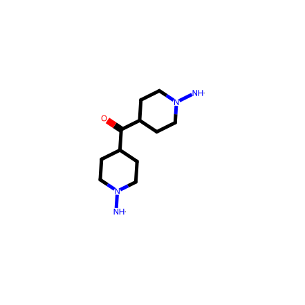 [NH]N1CCC(C(=O)C2CCN([NH])CC2)CC1